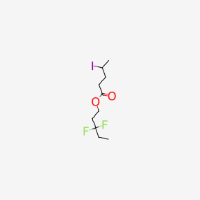 CCC(F)(F)CCOC(=O)CCC(C)I